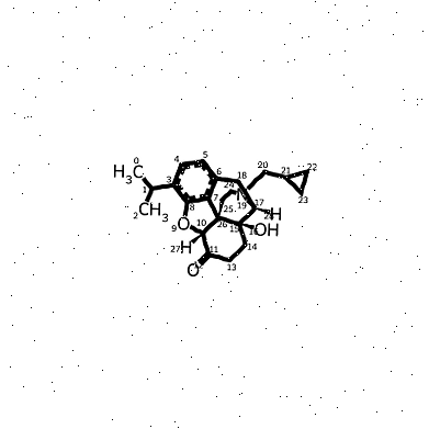 CC(C)c1ccc2c3c1O[C@H]1C(=O)CC[C@@]4(O)[C@@H](C2)N(CC2CC2)CC[C@]314